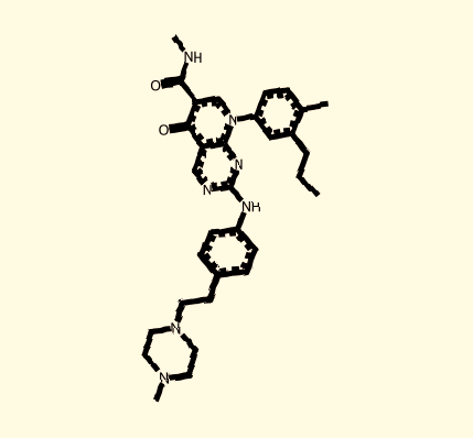 CCCc1cc(-n2cc(C(=O)NC)c(=O)c3cnc(Nc4ccc(CCN5CCN(C)CC5)cc4)nc32)ccc1C